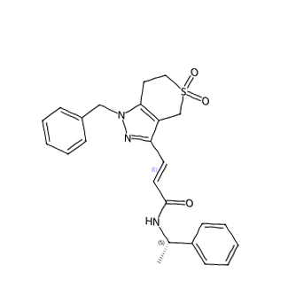 C[C@H](NC(=O)/C=C/c1nn(Cc2ccccc2)c2c1CS(=O)(=O)CC2)c1ccccc1